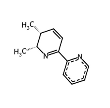 C[C@@H]1C=CC(c2ccccn2)=N[C@@H]1C